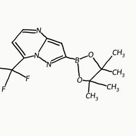 CC1(C)OB(c2cc3nccc(C(F)(F)F)n3n2)OC1(C)C